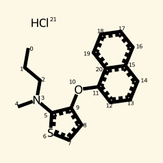 CCCN(C)c1sccc1Oc1cccc2ccccc12.Cl